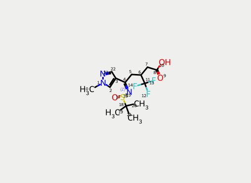 Cn1cc(/C(CC(CC(=O)O)C(F)(F)F)=N\[S+]([O-])C(C)(C)C)cn1